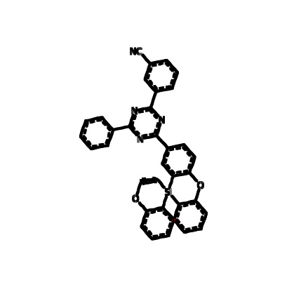 N#Cc1cccc(-c2nc(-c3ccccc3)nc(-c3ccc4c(c3)[Si]3(c5ccccc5Oc5ccccc53)c3ccccc3O4)n2)c1